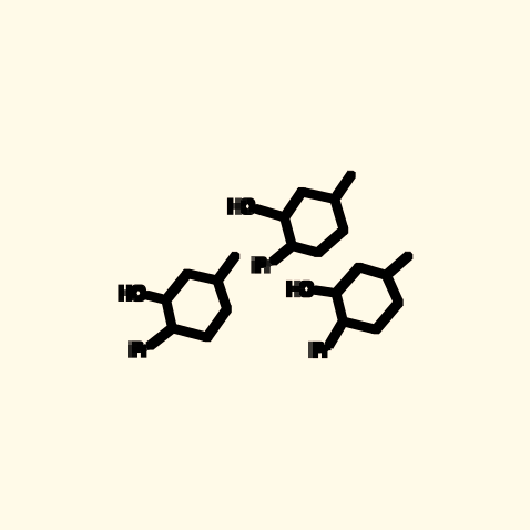 CC1CCC(C(C)C)C(O)C1.CC1CCC(C(C)C)C(O)C1.CC1CCC(C(C)C)C(O)C1